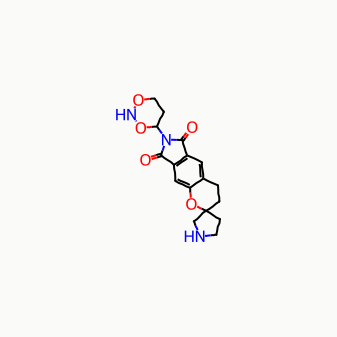 O=C1c2cc3c(cc2C(=O)N1C1CCONO1)OC1(CCNC1)CC3